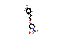 O=C(O)N1CCC(OCCCc2ccc(Cl)cc2)CC1